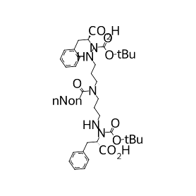 CCCCCCCCCC(=O)N(CCCNN(C(=O)OC(C)(C)C)[C@@H](Cc1ccccc1)C(=O)O)CCCNN(C(=O)OC(C)(C)C)[C@@H](Cc1ccccc1)C(=O)O